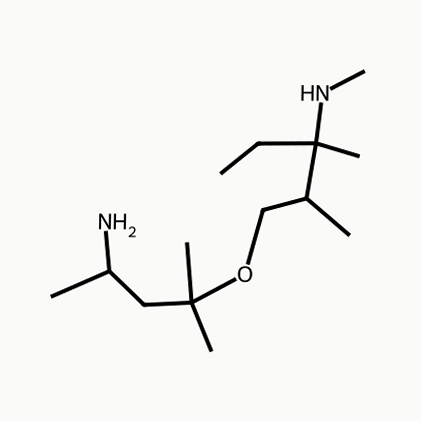 CCC(C)(NC)C(C)COC(C)(C)CC(C)N